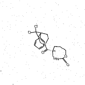 O=C1NC[C@H](C(=O)N2CCC3(c4ccccc4)C(C2)C3(Cl)Cl)CCCO1